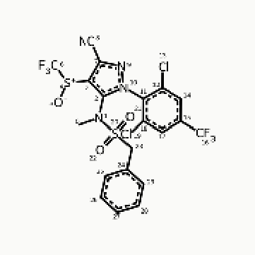 CN(c1c([S+]([O-])C(F)(F)F)c(C#N)nn1-c1c(Cl)cc(C(F)(F)F)cc1Cl)S(=O)(=O)Cc1ccccc1